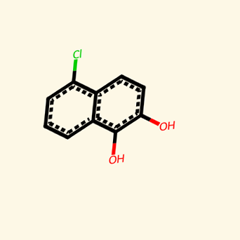 Oc1ccc2c(Cl)cccc2c1O